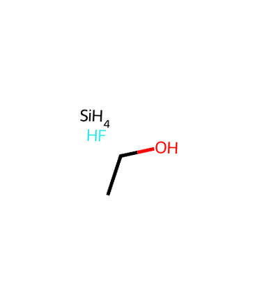 CCO.F.[SiH4]